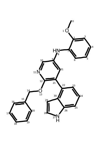 COc1ccccc1Nc1cnc(OCc2ccccc2)c(-c2cccc3[nH]ccc23)c1